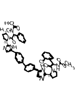 COC(=O)N[C@@H](C(=O)N1CCC[C@H]1c1ncc(-c2ccc(-c3ccc(-c4cnc([C@@H]5CCCN5C(=O)[C@@H](c5ccccc5)N(C)C(=O)O)[nH]4)cc3)cc2)[nH]1)c1ccccc1Cl